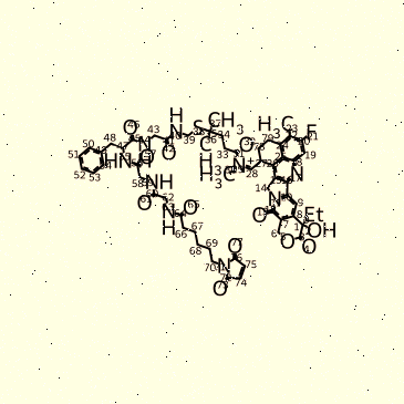 CC[C@@]1(O)C(=O)OCc2c1cc1n(c2=O)Cc2c-1nc1cc(F)c(C)c3c1c2C(/C=[N+](/C)C(=O)CCC(C)(C)SCNC(=O)CNC(=O)[C@H](Cc1ccccc1)NC(=O)CNC(=O)CNC(=O)CCCCCN1C(=O)C=CC1=O)CC3